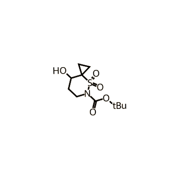 CC(C)(C)OC(=O)N1CCC(O)C2(CC2)S1(=O)=O